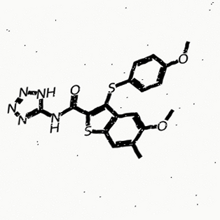 COc1ccc(Sc2c(C(=O)Nc3nnn[nH]3)sc3cc(C)c(OC)cc23)cc1